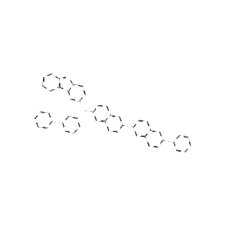 c1ccc(-c2cccc(N(c3ccc4cc(-c5ccc6cc(-c7ccccc7)ccc6c5)ccc4c3)c3ccc4sc5ccccc5c4c3)c2)cc1